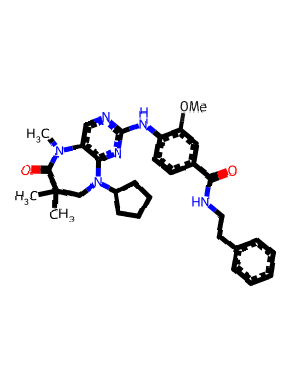 COc1cc(C(=O)NCCc2ccccc2)ccc1Nc1ncc2c(n1)N(C1CCCC1)CC(C)(C)C(=O)N2C